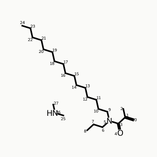 C=C(C)C(=O)N(CCC)CCCCCCCCCCCCCCCC.CNC